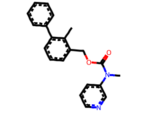 Cc1c(COC(=O)N(C)c2cccnc2)cccc1-c1ccccc1